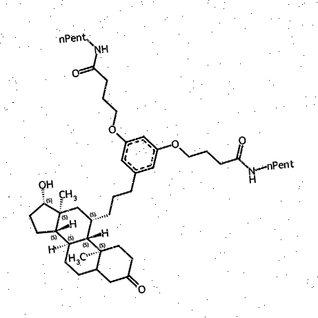 CCCCCNC(=O)CCCOc1cc(CCC[C@H]2C[C@]3(C)[C@@H](O)CC[C@H]3[C@@H]3CCC4CC(=O)CC[C@]4(C)[C@@H]23)cc(OCCCC(=O)NCCCCC)c1